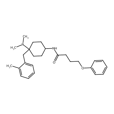 Cc1ccccc1CC1(N(C)C)CCC(NC(=O)CCCOc2ccccc2)CC1